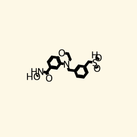 O=C(NO)c1ccc2c(c1)N(Cc1cccc(C[SH](=O)=O)c1)CCO2